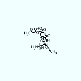 CCCON=C(C(=O)NC1C(=O)N2CC(COC(=O)CC(C)=O)(C(=O)O)CS[C@H]12)c1nsc(N)n1